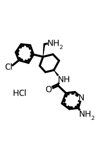 Cl.NC[C@]1(c2cccc(Cl)c2)CC[C@H](NC(=O)c2ccc(N)nc2)CC1